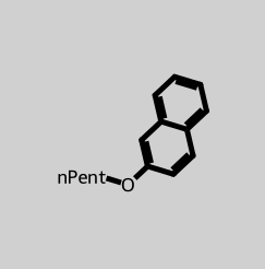 [CH2]CCCCOc1ccc2ccccc2c1